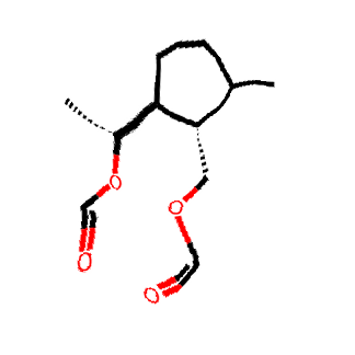 CC1CCC([C@@H](C)OC=O)[C@H]1COC=O